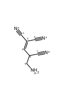 N#CC(C#N)=CC(C#N)CN